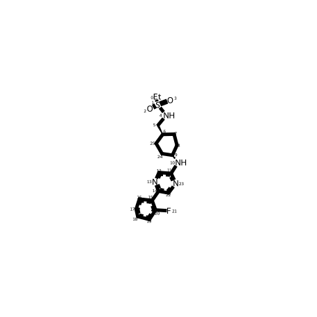 CCS(=O)(=O)NC[C@H]1CC[C@H](Nc2cnc(-c3ccccc3F)cn2)CC1